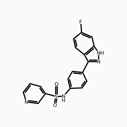 O=S(=O)(Nc1ccc(-c2n[nH]c3cc(F)ccc23)cc1)c1cccnc1